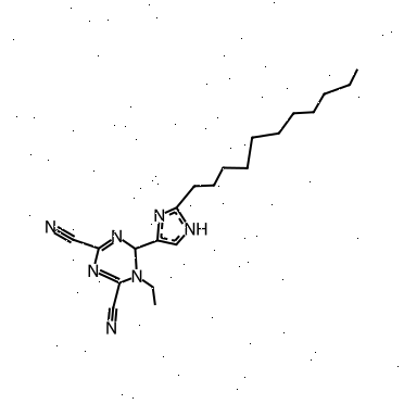 CCCCCCCCCCCc1nc(C2N=C(C#N)N=C(C#N)N2CC)c[nH]1